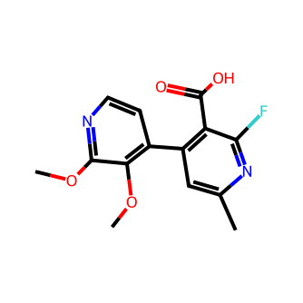 COc1nccc(-c2cc(C)nc(F)c2C(=O)O)c1OC